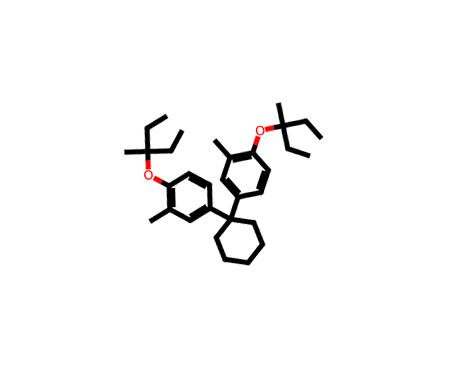 CCC(C)(CC)Oc1ccc(C2(c3ccc(OC(C)(CC)CC)c(C)c3)CCCCC2)cc1C